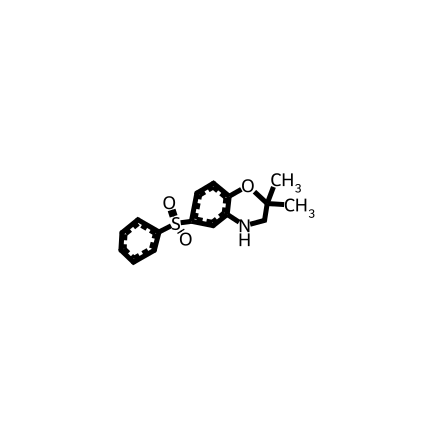 CC1(C)CNc2cc(S(=O)(=O)c3ccccc3)ccc2O1